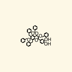 O=c1c(OCc2ccccc2)c(-c2ccc(O)c(O)c2)oc2c(Cc3ccccc3)c(OCc3ccccc3)c(Cc3ccccc3)c(OCc3ccccc3)c12